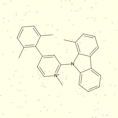 Cc1cccc(C)c1-c1cc[n+](C)c(-n2c3ccccc3c3cccc(C)c32)c1